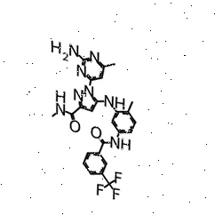 CNC(=O)c1cc(Nc2cc(NC(=O)c3cccc(C(F)(F)F)c3)ccc2C)n(-c2cc(C)nc(N)n2)n1